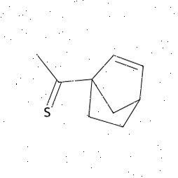 CC(=S)C12C=CC(CC1)C2